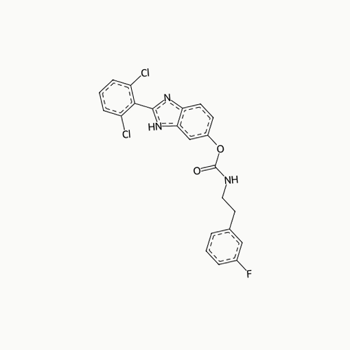 O=C(NCCc1cccc(F)c1)Oc1ccc2nc(-c3c(Cl)cccc3Cl)[nH]c2c1